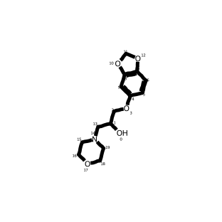 OC(COc1ccc2c(c1)OCO2)CN1CCOCC1